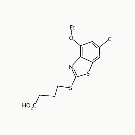 CCOc1cc(Cl)cc2sc(SCCCC(=O)O)nc12